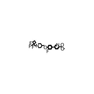 COC(=O)c1ccc(-c2ccc(OCC3CCN(CC4(C(F)(F)F)CCC4)CC3)c(F)c2)cn1